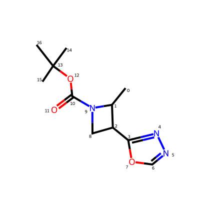 CC1C(c2nnco2)CN1C(=O)OC(C)(C)C